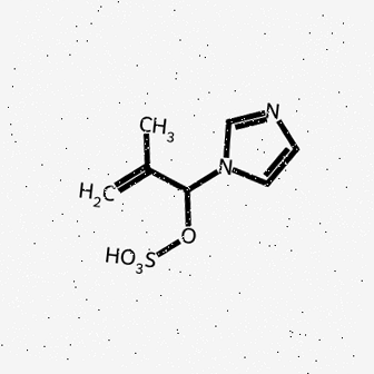 C=C(C)C(OS(=O)(=O)O)n1ccnc1